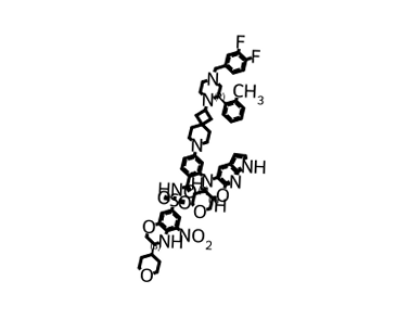 Cc1ccccc1[C@@H]1CN(Cc2ccc(F)c(F)c2)CCN1C1CC2(CCN(c3ccc(C(=O)NS(=O)(=O)c4cc5c(c([N+](=O)[O-])c4)N[C@@H](C4CCOCC4)CO5)c(N4c5cc6cc[nH]c6nc5O[C@H]5COCC[C@@H]54)c3)CC2)C1